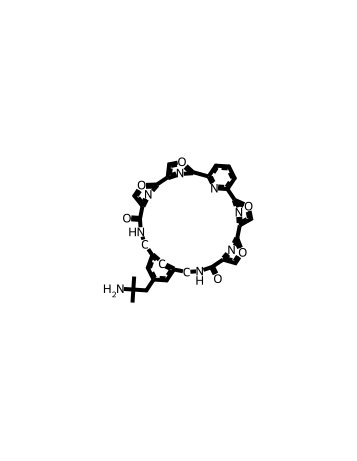 CC(C)(N)Cc1cc2cc(c1)CNC(=O)c1coc(n1)-c1coc(n1)-c1cccc(n1)-c1nc(co1)-c1nc(co1)C(=O)NC2